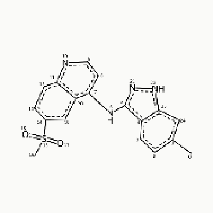 Cc1ccc2c(Nc3ccnc4ccc(S(C)(=O)=O)cc34)n[nH]c2c1